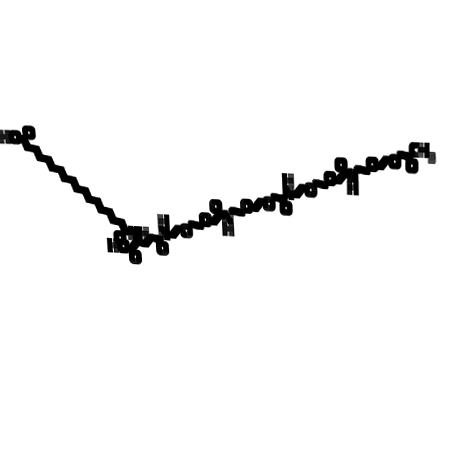 CC(=O)COCCOCCNC(=O)COCCOCCNC(=O)COCCOCCNC(=O)COCCOCCNC(=O)CCC(NC(=O)CCCCCCCCCCCCCCCCC(=O)O)C(=O)O